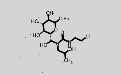 CC(C)COC1O[C@H](C(O)N(CC(C)O)C(=O)NCCCl)[C@@H](O)[C@H](O)[C@H]1O